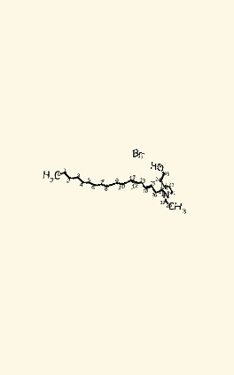 CCCCCCCCCCCCCCC=CCC1=[N+](CC)CCN1CCO.[Br-]